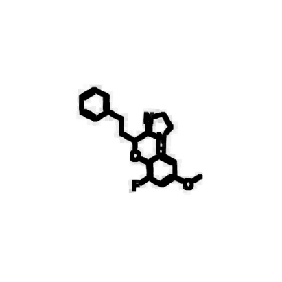 COc1ccc(OC(CCc2ccccc2)C2=NCCN2)c(F)c1